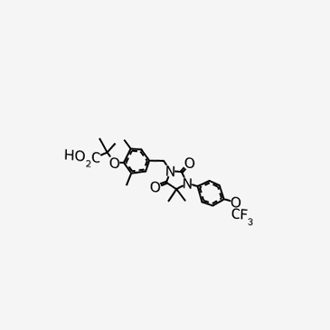 Cc1cc(CN2C(=O)N(c3ccc(OC(F)(F)F)cc3)C(C)(C)C2=O)cc(C)c1OC(C)(C)C(=O)O